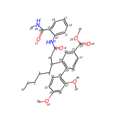 CCCCCC(CC(=O)Nc1ccccc1C(=O)NC)c1cc(C(=O)OC)ccc1-c1ccc(OC)cc1OC